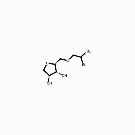 CCCCC(CC)COC[C@@H]1OC[C@H](O)[C@H]1O